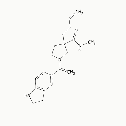 C=CCCC1(C(=O)NC)CCN(C(=C)c2ccc3c(c2)CCN3)C1